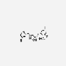 CCc1cccc(CNC[C@@H](O)[C@H](Cc2cc(F)cc(F)c2)NC(C)=O)c1